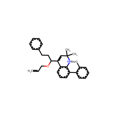 C=CCOC(CCc1ccccc1)C1=CC(C)(C)Nc2c1cccc2-c1ccccc1OC